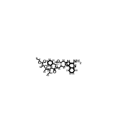 CCOC(=O)C(C)Oc1cccc(CN(CCCn2c(CCOC)nc3c(N)nc4ccccc4c32)C(=O)CN(CC)CC)c1